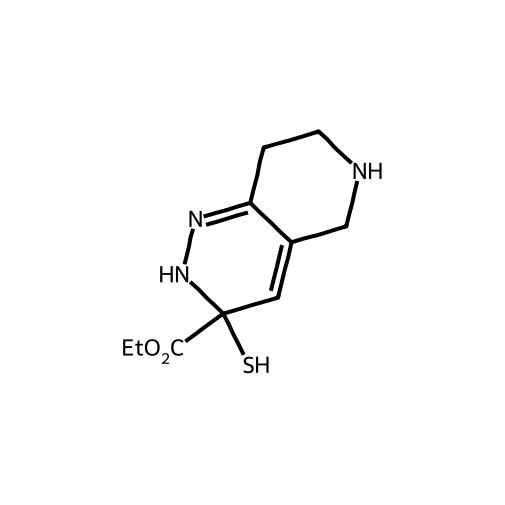 CCOC(=O)C1(S)C=C2CNCCC2=NN1